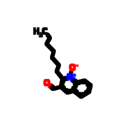 CCCCCCCc1c(C=O)cc2ccccc2[n+]1[O-]